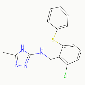 Cc1nnc(NCc2c(Cl)cccc2Sc2ccccc2)[nH]1